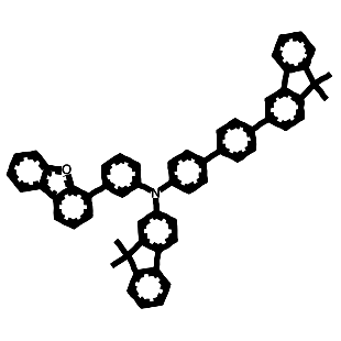 CC1(C)c2ccccc2-c2cc(-c3ccc(-c4ccc(N(c5cccc(-c6cccc7c6oc6ccccc67)c5)c5ccc6c(c5)C(C)(C)c5ccccc5-6)cc4)cc3)ccc21